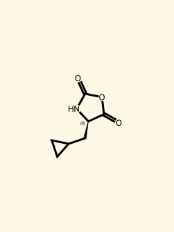 O=C1N[C@H](CC2CC2)C(=O)O1